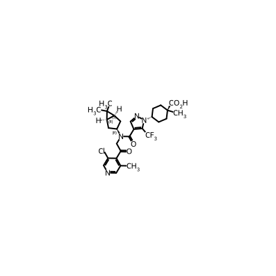 Cc1cncc(Cl)c1C(=O)CN(C(=O)c1cnn([C@H]2CC[C@](C)(C(=O)O)CC2)c1C(F)(F)F)[C@H]1C[C@@H]2[C@H](C1)C2(C)C